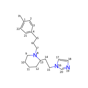 Cc1ccc(CCCN2CCCCC2CCn2ccnc2)cc1